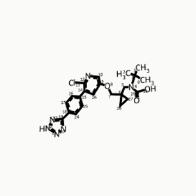 CC(C)(C)N(CC1(COc2cnc(Cl)c(-c3ccc(-c4nn[nH]n4)cc3)c2)CC1)C(=O)O